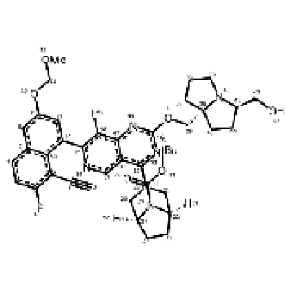 C#Cc1c(F)ccc2cc(OCOC)cc(-c3ncc4c(N5C[C@H]6CC[C@@H](C5)N6C(=O)OC(C)(C)C)nc(OC[C@]56CCCN5[C@@H](CO)CC6)nc4c3F)c12